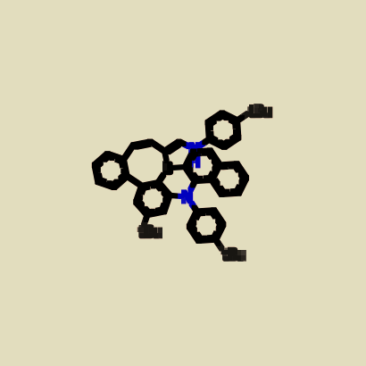 CC(C)(C)c1ccc(N/C=C2/C=C\c3ccccc3-c3cc(C(C)(C)C)cc4c3B2c2ccc3ccccc3c2N4c2ccc(C(C)(C)C)cc2)cc1